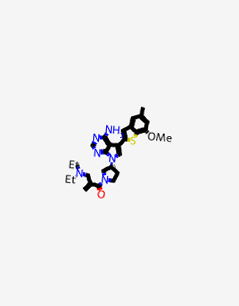 C=C(CN(CC)CC)C(=O)N1CC[C@H](n2cc(-c3cc4cc(C)cc(OC)c4s3)c3c(N)ncnc32)C1